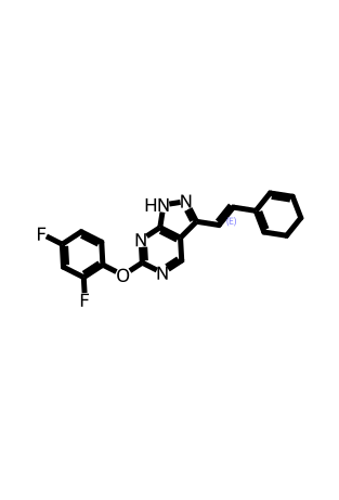 Fc1ccc(Oc2ncc3c(/C=C/C4=CCCC=C4)n[nH]c3n2)c(F)c1